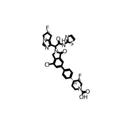 O=C(Nc1nccs1)C(c1ncn2c1C[C@@H](F)C2)N1Cc2c(Cl)cc(-c3ccc([C@H]4CCN(C(=O)O)C[C@@H]4F)cc3)cc2C1=O